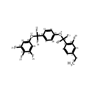 CCc1ccc(C(F)(F)Oc2ccc(C(F)(F)Oc3cc(F)c(F)c(F)c3)cc2)c(F)c1